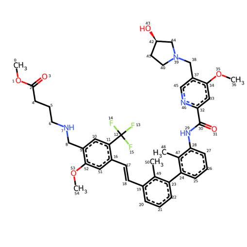 COC(=O)CCCNCc1cc(C(F)(F)F)c(/C=C/c2cccc(-c3cccc(NC(=O)c4cc(OC)c(CN5CC[C@@H](O)C5)cn4)c3C)c2C)cc1OC